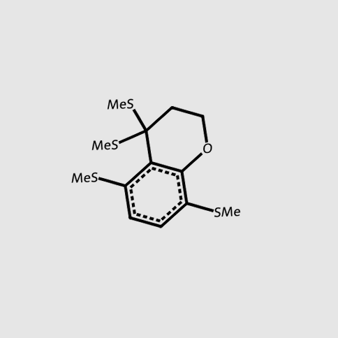 CSc1ccc(SC)c2c1OCCC2(SC)SC